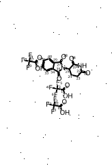 O=C(O)C(F)(F)F.O=C(O)C(F)(F)F.O=C(O)C(F)(F)F.O=C1CCC(N2C(=O)c3ccccc3C2=O)C(=O)N1